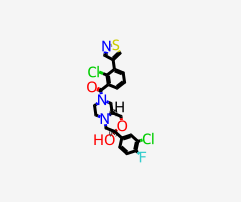 O=C(c1cccc(-c2cnsc2)c1Cl)N1CCN2C[C@@](O)(c3ccc(F)c(Cl)c3)OC[C@@H]2C1